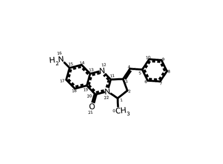 CC1C/C(=C\c2ccccc2)c2nc3cc(N)ccc3c(=O)n21